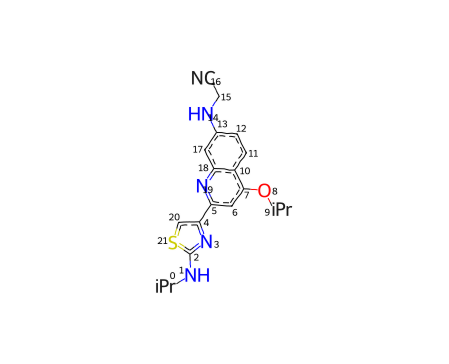 CC(C)Nc1nc(-c2cc(OC(C)C)c3ccc(NCC#N)cc3n2)cs1